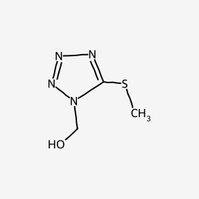 CSc1nnnn1CO